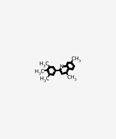 Cc1ccc2c(C)cc(-c3cc(C)c(C)c(C)c3)nc2c1